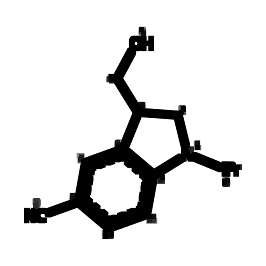 CC(C)N1CC(CO)c2cc(C#N)ccc21